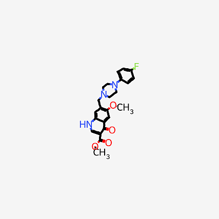 COC(=O)c1c[nH]c2cc(CN3CCN(c4ccc(F)cc4)CC3)c(OC)cc2c1=O